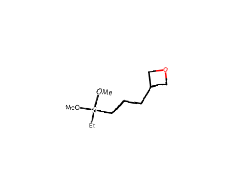 CC[Si](CCCC1COC1)(OC)OC